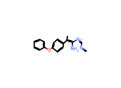 C=N/C=N\C(N)=C(/C)c1ccc(Oc2ccccc2)cc1